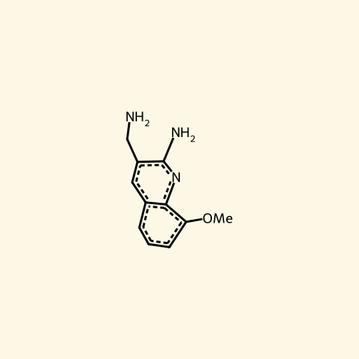 COc1cccc2cc(CN)c(N)nc12